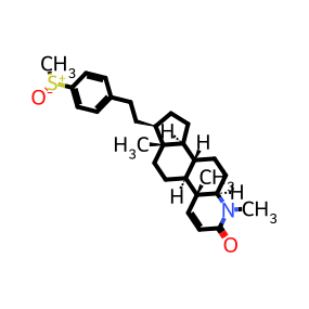 CN1C(=O)C=C[C@]2(C)[C@H]3CC[C@]4(C)[C@@H](CCc5ccc([S+](C)[O-])cc5)CC[C@H]4[C@@H]3CC[C@@H]12